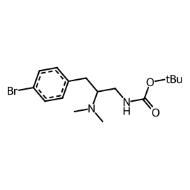 CN(C)C(CNC(=O)OC(C)(C)C)Cc1ccc(Br)cc1